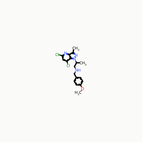 COc1ccc(CNCC(C)n2nc(C)c3nc(Cl)cc(Cl)c32)cc1